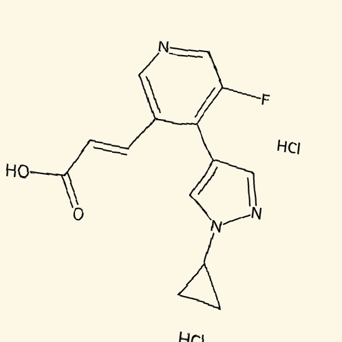 Cl.Cl.O=C(O)C=Cc1cncc(F)c1-c1cnn(C2CC2)c1